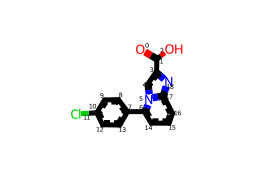 O=C(O)c1cn2c(-c3ccc(Cl)cc3)cccc2n1